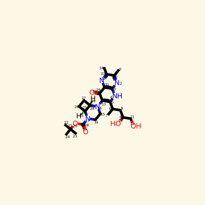 Cc1nc2[nH]c(C(C)CC(O)CO)c(N3CCN(C(=O)OC(C)(C)C)[C@H]4CC[C@@H]43)c(=O)c2nc1C